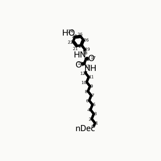 CCCCCCCCCCCCCCCCCCCCCCNC(=O)C(=O)NCc1ccc(O)cc1